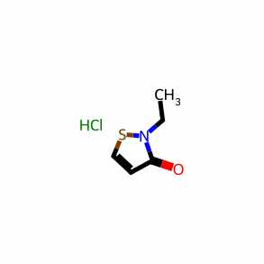 CCn1sccc1=O.Cl